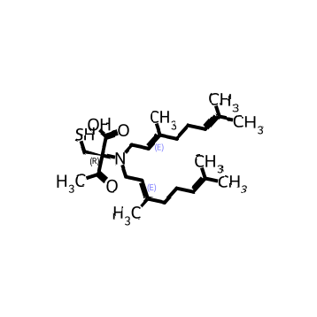 CC(=O)[C@](CS)(C(=O)O)N(C/C=C(\C)CCC=C(C)C)C/C=C(\C)CCC=C(C)C